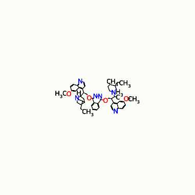 CCC1CN(C(C)C(COc2nnc(OC[C@H](c3ccnc4ccc(OC)cc34)[C@@H]3CC4CCN3CC4CC)c3ccccc23)c2ccnc3ccc(OC)cc23)CCC1C